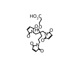 O=C(O)CCOCC(CCCN1C(=O)C=CC1=O)(CN1C(=O)C=CC1=O)CN1C(=O)C=CC1O